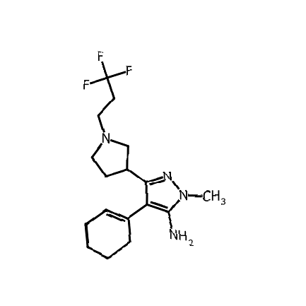 Cn1nc(C2CCN(CCC(F)(F)F)C2)c(C2=CCCCC2)c1N